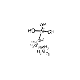 O.O.O[Si](O)(O)O.[AlH3].[Fe].[MgH2]